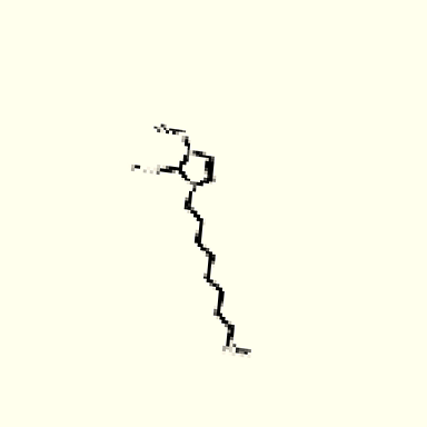 CCCCCCCCCCCCCCCCCCN1C=CN(CCCCC)C1CCCCCCC